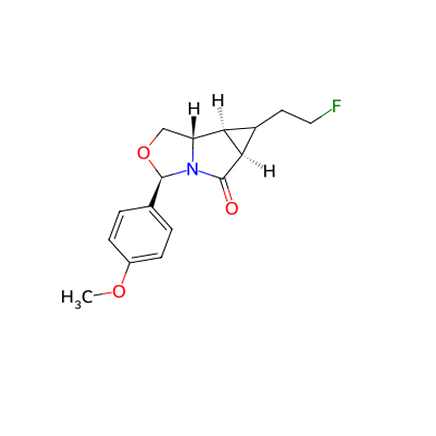 COc1ccc([C@H]2OC[C@@H]3[C@H]4C(CCF)[C@H]4C(=O)N23)cc1